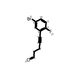 O=CCCC#Cc1cc(Br)ccc1F